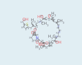 C/C1=C\CC([C@H](C)Cc2ccc(CO)s2)OC(=O)[C@@H]2CCCCN2C(=O)C(=O)[C@]2(O)O[C@@H](CC[C@H]2C)C[C@H](O)/C(C)=C/C=C/C=C/[C@@H](C)C[C@@H](C)C(=O)C[C@@H]1O